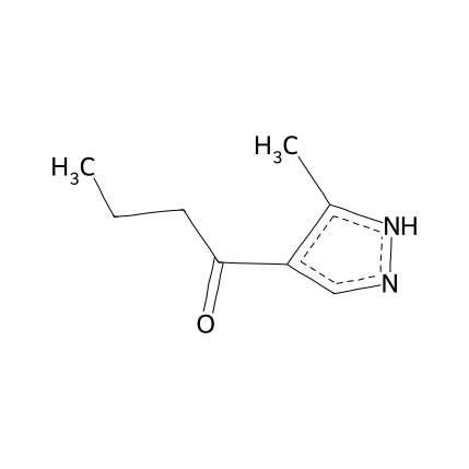 CCCC(=O)c1cn[nH]c1C